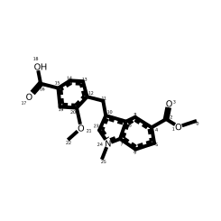 COC(=O)c1ccc2c(c1)c(Cc1ccc(C(=O)O)cc1OC)cn2C